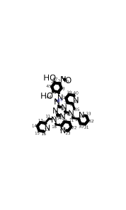 O=Nc1cc(/N=N/c2nc(N(Cc3ccccn3)Cc3ccccn3)nc(N(Cc3ccccn3)Cc3ccccn3)n2)c(O)cc1O